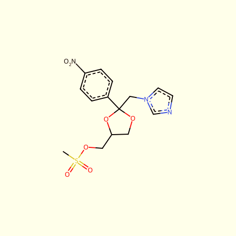 CS(=O)(=O)OCC1COC(Cn2ccnc2)(c2ccc([N+](=O)[O-])cc2)O1